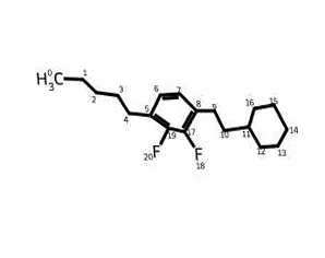 CCCCCc1ccc(CCC2CCCCC2)c(F)c1F